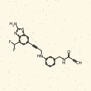 C#CC(=O)NCc1cccc(NCC#Cc2cc(C(F)F)c3nc(N)sc3c2)c1